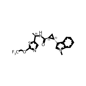 C[C@@H](NC(=O)[C@H]1C[C@@H]1c1cn(C)c2ccccc12)c1cnc(OCC(F)(F)F)s1